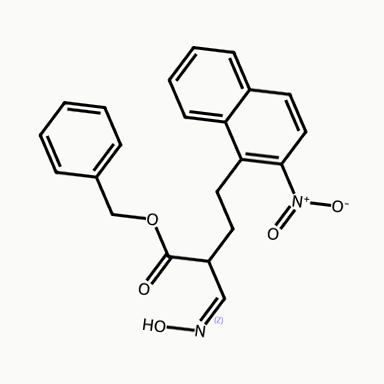 O=C(OCc1ccccc1)C(/C=N\O)CCc1c([N+](=O)[O-])ccc2ccccc12